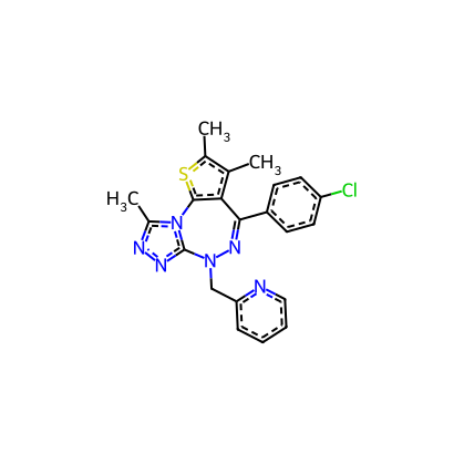 Cc1sc2c(c1C)C(c1ccc(Cl)cc1)=NN(Cc1ccccn1)c1nnc(C)n1-2